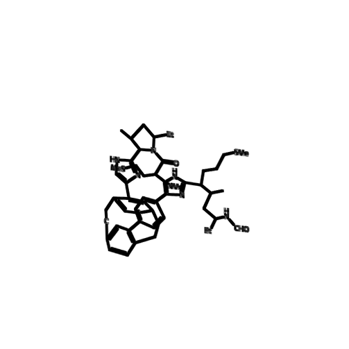 CCC(CC(C)C(CCCSC)c1nc(-c2ccc(-c3cc4ccc3CCC3C=C(c5c[nH]c(C6C(C)CC(CC)N6C(=O)C(CCSC)NC)n5)C(=CC3)CC4)cc2)c[nH]1)NC=O